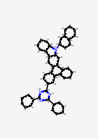 c1ccc(-c2nc(-c3ccccc3)nc(-c3ccc4c(c3)c3ccccc3c3cc5c(cc43)c3ccccc3n5-c3ccc4ccccc4c3)n2)cc1